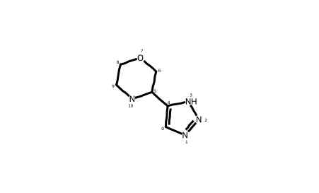 c1nn[nH]c1C1COCC[N]1